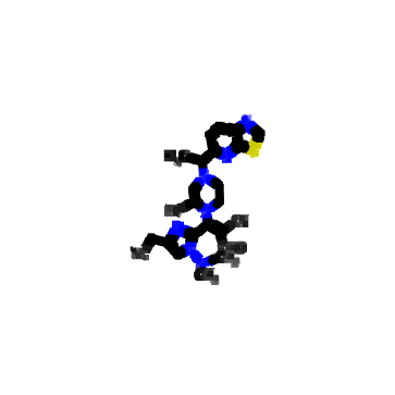 CCC1CN(C(C)c2ccc3ncsc3n2)CCN1/C(=C(\C#N)C=O)c1nc(CC#N)cn1N(C)C